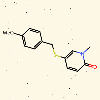 COc1ccc(CSc2ccc(=O)n(C)c2)cc1